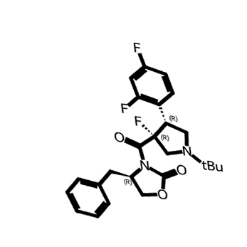 CC(C)(C)N1C[C@@H](c2ccc(F)cc2F)[C@](F)(C(=O)N2C(=O)OC[C@H]2Cc2ccccc2)C1